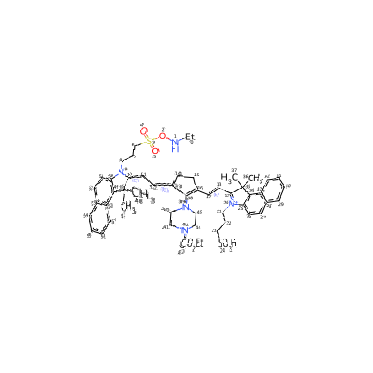 CCNOS(=O)(=O)CCCN1/C(=C/C=C2\CCC(/C=C/C3=[N+](CCCS(=O)(=O)O)c4ccc5ccccc5c4C3(C)C)=C2N2CCN(C(=O)OCC)CC2)C(C)(C)c2c1ccc1ccccc21